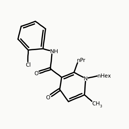 CCCCCCn1c(C)cc(=O)c(C(=O)Nc2ccccc2Cl)c1CCC